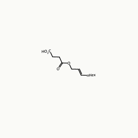 CCCCCCC=CCOC(=O)CCC(=O)O